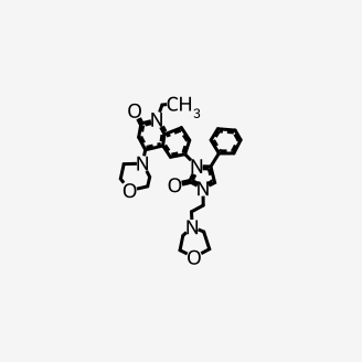 CCn1c(=O)cc(N2CCOCC2)c2cc(-n3c(-c4ccccc4)cn(CCN4CCOCC4)c3=O)ccc21